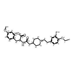 CCOc1ccc(CCN2CCC(CC(=O)NC(Cc3ccc(OC)cc3)C(=O)O)CC2)cc1F